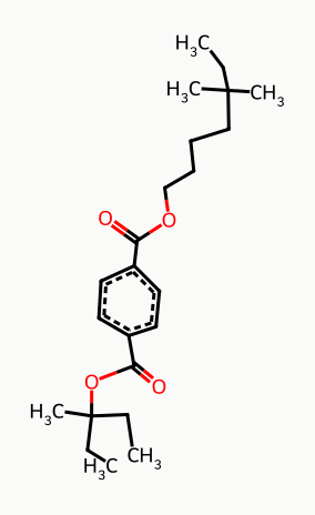 CCC(C)(C)CCCCOC(=O)c1ccc(C(=O)OC(C)(CC)CC)cc1